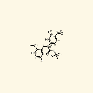 COC1NC=C(F)C=C1CN(C(=O)OC(C)(C)C)C1=CC=C(C=O)C(F)N1